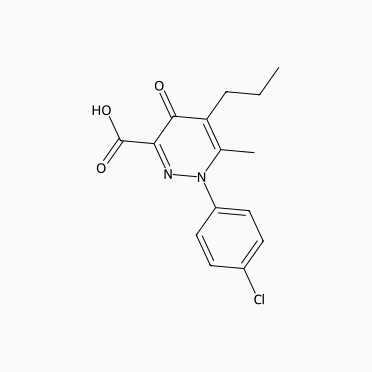 CCCc1c(C)n(-c2ccc(Cl)cc2)nc(C(=O)O)c1=O